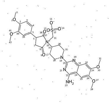 COc1ccc(C2CC(=O)[N+](CS(=O)(=O)[O-])(C3CCN(c4nc(N)c5cc(OC)c(OC)cc5n4)CC3)C2=O)cc1OC